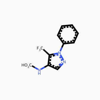 O=C(O)Nc1cnn(-c2ccccc2)c1C(F)(F)F